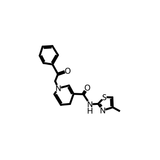 Cc1csc(NC(=O)C2=CN(CC(=O)c3ccccc3)C=CC2)n1